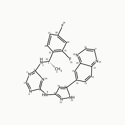 C[C@H](Nc1ncnc(Nc2cc(-c3ccc4nccnc4c3)[nH]n2)n1)c1ccc(F)cc1F